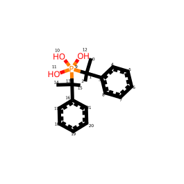 CC(C)(c1ccccc1)P(O)(O)(O)C(C)(C)c1ccccc1